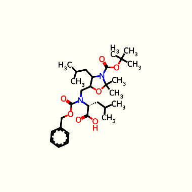 CC(C)CC1C(CN(C(=O)OCc2ccccc2)[C@H](CC(C)C)C(=O)O)OC(C)(C)N1C(=O)OC(C)(C)C